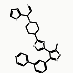 Cc1onc(-c2cccc(-c3ccncc3)c2)c1-c1csc(C2CCN(C(C=O)c3cccs3)CC2)n1